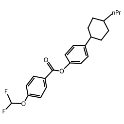 CCCC1CCC(c2ccc(OC(=O)c3ccc(OC(F)F)cc3)cc2)CC1